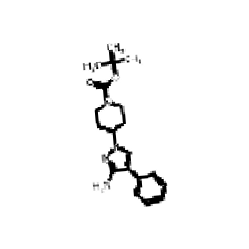 CC(C)(C)OC(=O)N1CCC(n2cc(-c3ccccc3)c(N)n2)CC1